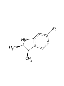 CCc1ccc2c(c1)N[C@H](C)[C@@H]2C